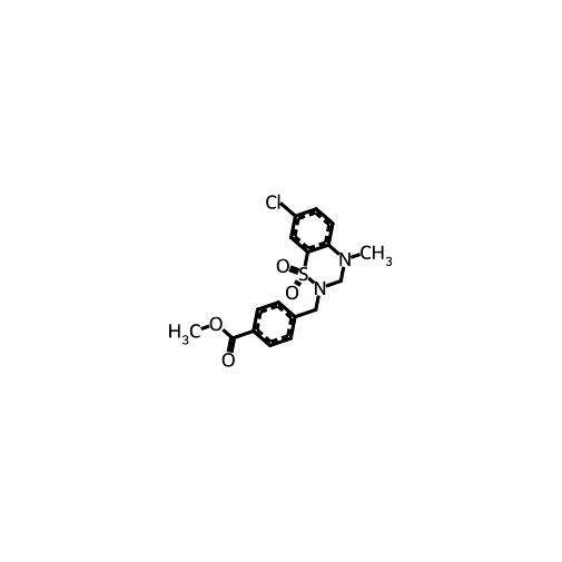 COC(=O)c1ccc(CN2CN(C)c3ccc(Cl)cc3S2(=O)=O)cc1